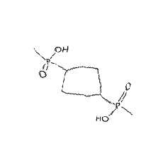 CP(=O)(O)C1CCC(P(C)(=O)O)CC1